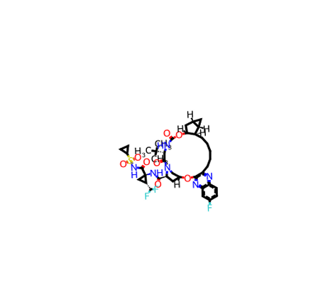 CC(C)(C)[C@@H]1NC(=O)O[C@@H]2C[C@@H]3C[C@@H]3[C@H]2CCCCCc2nc3ccc(F)cc3nc2O[C@@H]2C[C@@H](C(=O)N[C@]3(C(=O)NS(=O)(=O)C4CC4)C[C@H]3C(F)F)N(C2)C1=O